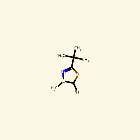 [2H]C1SC(C(C)(C)C)=N[C+]1[CH2-]